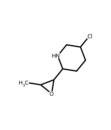 CC1OC1C1CCC(Cl)CN1